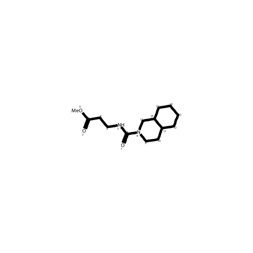 COC(=O)CCNC(=O)N1CCC2CCCCC2C1